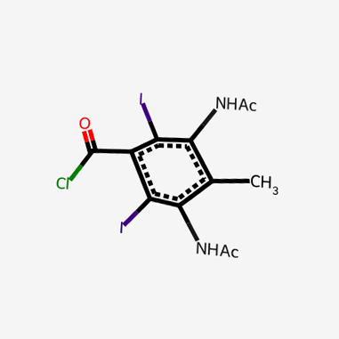 CC(=O)Nc1c(C)c(NC(C)=O)c(I)c(C(=O)Cl)c1I